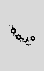 CC(C)C[C@H](NCc1ccc(Oc2ccc([123I])cc2)cc1)C(=O)OC1CCCC1